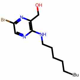 CCC(C)CCCCCNc1ncc(Br)nc1CO